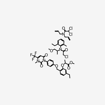 C=CCN(CC=C)C(=O)C(Cl)Cl.CCc1ccc(COc2ccc(-n3c(=O)cc(C(F)(F)F)n(C)c3=O)cc2)c(OC(C)C(=O)OC)c1.CCc1cccc(C)c1N(C(=O)CCl)C(C)COC